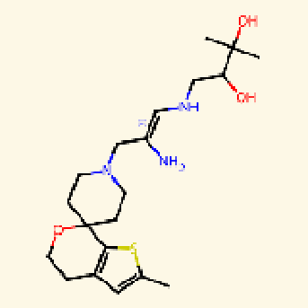 Cc1cc2c(s1)C1(CCN(C/C(N)=C/NCC(O)C(C)(C)O)CC1)OCC2